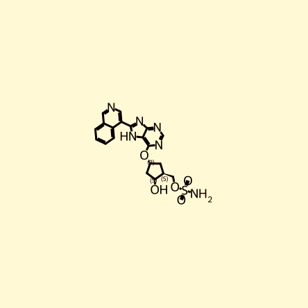 NS(=O)(=O)OC[C@@H]1C[C@@H](Oc2ncnc3nc(-c4cncc5ccccc45)[nH]c23)C[C@@H]1O